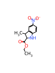 CCOC(=O)C1Nc2ccc([N+](=O)[O-])cc2C1C